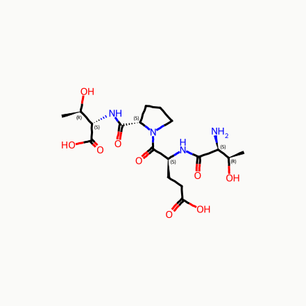 C[C@@H](O)[C@H](N)C(=O)N[C@@H](CCC(=O)O)C(=O)N1CCC[C@H]1C(=O)N[C@H](C(=O)O)[C@@H](C)O